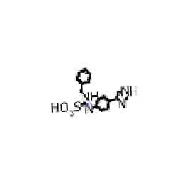 O=S(=O)(O)/C(=N/c1ccc(-c2c[nH]cn2)cc1)NCc1ccccc1